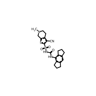 CN1CCc2c(sc(S(=O)(=O)NC(=O)Nc3c4c(cc5c3CCC5)CCC4)c2C#N)C1